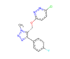 Cn1nnc(-c2ccc(F)cc2)c1COc1ccc(Cl)nn1